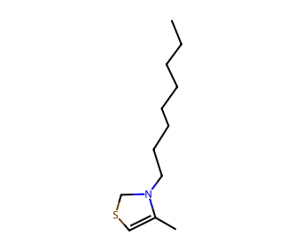 CCCCCCCCN1CSC=C1C